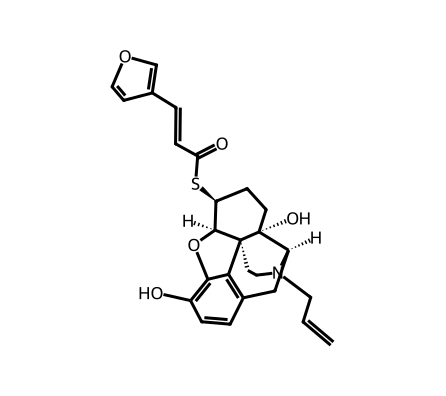 C=CCN1CC[C@]23c4c5ccc(O)c4O[C@H]2[C@@H](SC(=O)/C=C/c2ccoc2)CC[C@@]3(O)[C@H]1C5